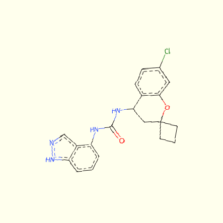 O=C(Nc1cccc2[nH]ncc12)NC1CC2(CCC2)Oc2cc(Cl)ccc21